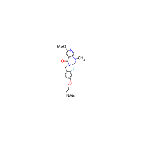 CNCCCOc1ccc(CN2CCN(C)c3cnc(OC)cc3C2=O)c(F)c1